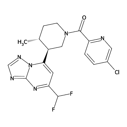 C[C@@H]1CCN(C(=O)c2ccc(Cl)cn2)C[C@H]1c1cc(C(F)F)nc2ncnn12